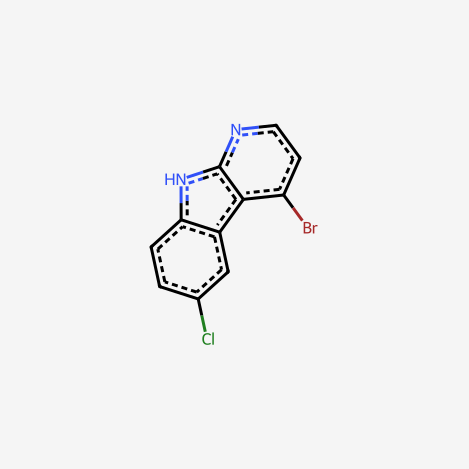 Clc1ccc2[nH]c3nccc(Br)c3c2c1